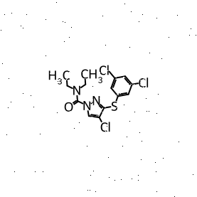 CCN(CC)C(=O)n1cc(Cl)c(Sc2cc(Cl)cc(Cl)c2)n1